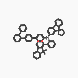 CC1(C)c2ccccc2-c2cccc(-c3ccccc3N(c3ccc(-c4ccc(-c5ccccc5-c5ccccc5)cc4)cc3)c3ccc4c(c3)C3(CCCC3)c3ccccc3-4)c21